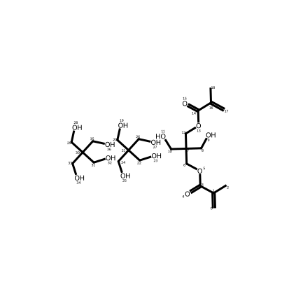 C=C(C)C(=O)OCC(CO)(CO)COC(=O)C(=C)C.OCC(CO)(CO)CO.OCC(CO)(CO)CO